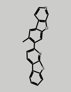 Cc1cc2c(cc1-c1ccc3c(n1)sc1ccccc13)oc1cnccc12